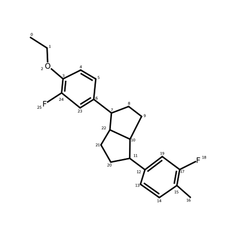 CCOc1ccc(C2CCC3C(c4ccc(C)c(F)c4)CCC23)cc1F